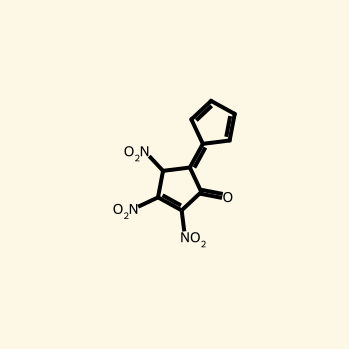 O=C1C(=C2C=CC=C2)C([N+](=O)[O-])C([N+](=O)[O-])=C1[N+](=O)[O-]